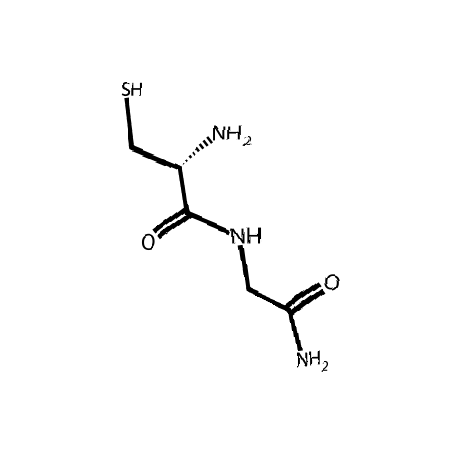 NC(=O)CNC(=O)[C@@H](N)CS